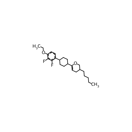 CCCCCC1CC=C(C2CCC(c3ccc(OCC)c(F)c3F)CC2)OC1